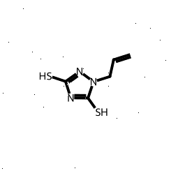 C=CCn1nc(S)nc1S